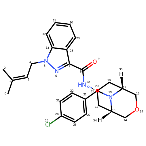 CC(C)=CCn1nc(C(=O)N[C@H]2C[C@H]3COC[C@@H](C2)N3Cc2ccc(Cl)cc2)c2ccccc21